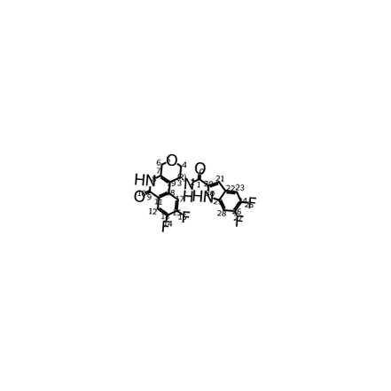 O=C(N[C@H]1COCc2[nH]c(=O)c3cc(F)c(F)cc3c21)c1cc2cc(F)c(F)cc2[nH]1